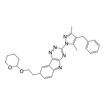 Cc1nn(-c2nnc3c(n2)N=C2C=CC(CCOC4CCCCO4)C=C23)c(C)c1Cc1ccccc1